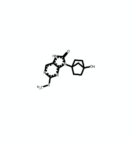 CSc1ncc2[nH]c(=O)n(C34CCC(O)(CC3)C4)c2n1